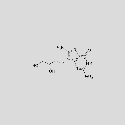 Nc1nc2c(nc(N)n2CCC(O)CO)c(=O)[nH]1